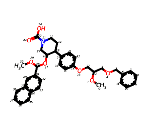 COC(COCc1ccccc1)COc1ccc(C2CCN(C(=O)O)CC2OC(OC)c2ccc3ccccc3c2)cc1